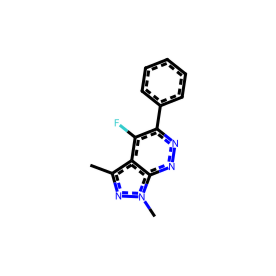 Cc1nn(C)c2nnc(-c3ccccc3)c(F)c12